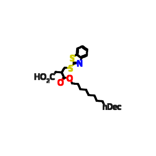 CCCCCCCCCCCCCCCCCCOC(=O)C(CSc1nc2ccccc2s1)CC(=O)O